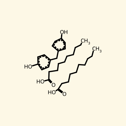 CCCCCCCCCC(=O)O.CCCCCCCCCC(=O)O.Oc1ccc(Cc2ccc(O)cc2)cc1